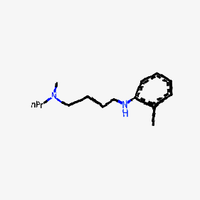 CCCN(C)CCCCNc1ccccc1C